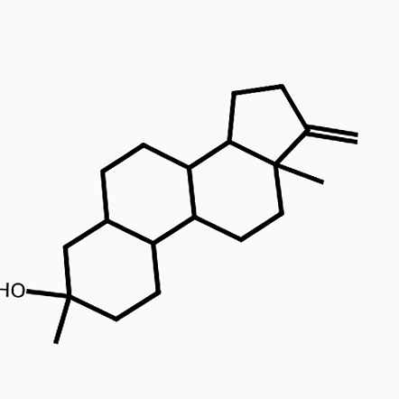 C=C1CCC2C3CCC4CC(C)(O)CCC4C3CCC12C